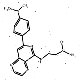 CN(C)c1ccc(-c2cc3nccnc3c(NCC[S+](N)[O-])n2)cc1